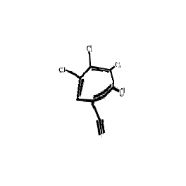 [C]#Cc1cc(Cl)c(Cl)c(Cl)c1Cl